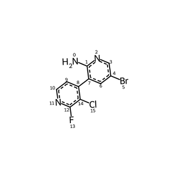 Nc1ncc(Br)cc1-c1ccnc(F)c1Cl